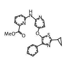 COC(=O)c1cccc(Nc2cc(Oc3sc(C4CC4)nc3-c3ccccc3)ccn2)n1